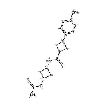 COc1ccc(N2CC(C(=O)N[C@H]3C[C@@H](OC(N)=O)C3)C2)cc1